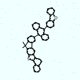 CC1(C)c2ccc(-c3c4ccccc4c(-c4ccc5oc6ccccc6c5c4)c4ccccc34)cc2-c2cc3c(cc21)sc1c2ccccc2ccc31